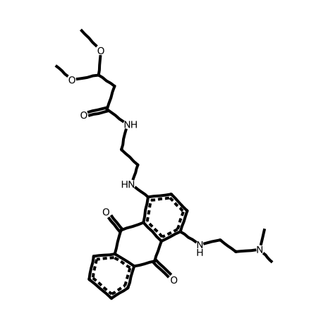 COC(CC(=O)NCCNc1ccc(NCCN(C)C)c2c1C(=O)c1ccccc1C2=O)OC